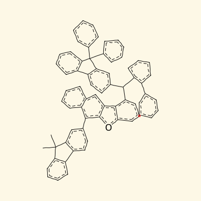 CC1(C)c2ccccc2-c2ccc(-c3c4ccccc4cc4c3oc3cccc(C(c5ccc6c(c5)C(c5ccccc5)(c5ccccc5)c5ccccc5-6)c5ccccc5-c5ccccc5)c34)cc21